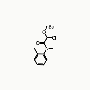 CCCCOC(Cl)C(=O)N(C)c1ccccc1C